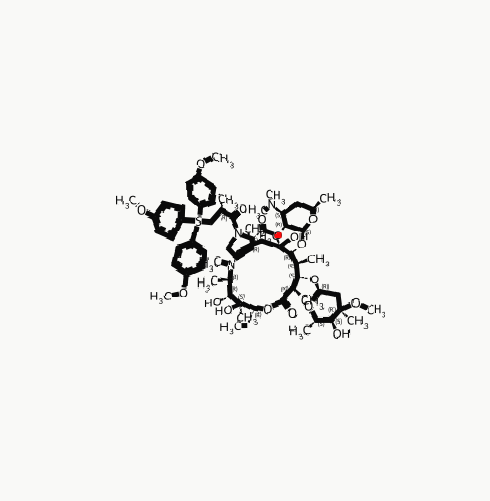 CC[C@H]1OC(=O)[C@H](C)[C@@H](O[C@H]2C[C@@](C)(OC)[C@@H](O)[C@H](C)O2)[C@H](C)[C@@H](O[C@@H]2O[C@H](C)C[C@H](N(C)C)[C@H]2OC(=O)[C@@H]2CCCN2C(=O)[C@@H](C)CS(c2ccc(OC)cc2)(c2ccc(OC)cc2)c2ccc(OC)cc2)[C@](C)(O)C[C@@H](C)CN(C)[C@H](C)[C@@H](O)[C@]1(C)O